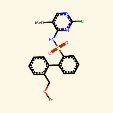 CCOCc1ccccc1-c1ccccc1S(=O)(=O)Nc1nc(Cl)ncc1OC